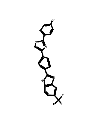 FC(F)(F)c1ccc2[nH]c(-c3ccc(-c4noc(-c5ccc(Br)cc5)n4)cc3)nc2c1